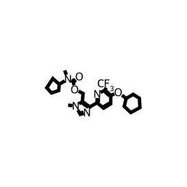 CN(C(=O)OCc1c(-c2ccc(OC3CCCCC3)c(C(F)(F)F)n2)ncn1C)C1CCCC1